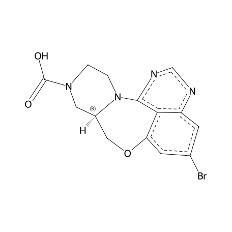 O=C(O)N1CCN2c3ncnc4cc(Br)cc(c34)OC[C@H]2C1